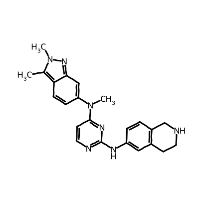 Cc1c2ccc(N(C)c3ccnc(Nc4ccc5c(c4)CCNC5)n3)cc2nn1C